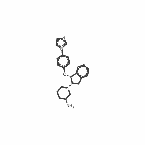 N[C@H]1CCCN([C@@H]2Cc3ccccc3[C@H]2Oc2ccc(-n3ccnc3)cc2)C1